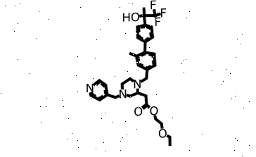 CCOCCOC(=O)CC1CN(Cc2ccncc2)CCN1Cc1ccc(-c2ccc(C(C)(O)C(F)(F)F)cc2)c(C)c1